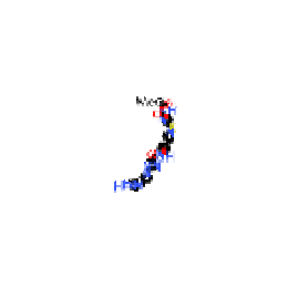 COC(=O)CNC(=O)c1ccc(SN2CCC(c3ccc(NC(=O)c4cnc(N5CCC(CN6CCNCC6)CC5)cn4)cc3)CC2)cn1